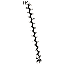 C[Si](C)(Cl)CCCCCCCCCCCCCCCCCCCCCCCS